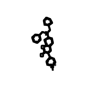 C[n+]1ccc(-c2cc3ccc(N(Cc4ccccc4)Cc4ccccc4)cc3oc2=O)cc1